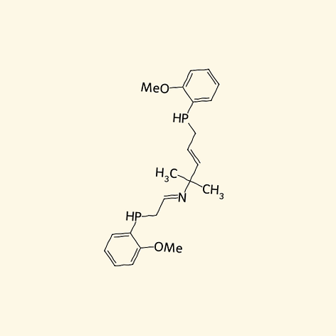 COc1ccccc1PCC=CC(C)(C)N=CCPc1ccccc1OC